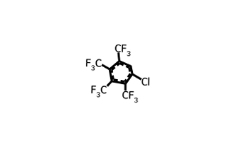 FC(F)(F)c1cc(Cl)c(C(F)(F)F)c(C(F)(F)F)c1C(F)(F)F